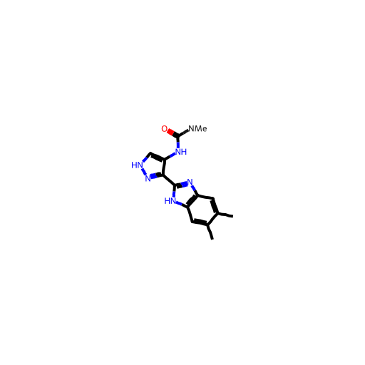 CNC(=O)Nc1c[nH]nc1-c1nc2cc(C)c(C)cc2[nH]1